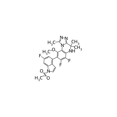 COc1c(-c2cc(F)cc3c2ccn3S(C)(=O)=O)c(F)c(F)c2c1-n1c(C)nnc1C(C)(C)N2